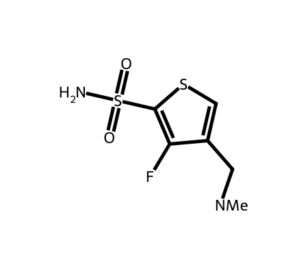 CNCc1csc(S(N)(=O)=O)c1F